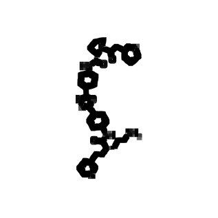 NCCC[C@H](CCc1cccnc1)C(=O)Nc1ccc(-c2nnc(-c3ccc(NC(=O)[C@@H]4CCCN4C(=O)Cc4cccnc4)cc3)o2)cc1